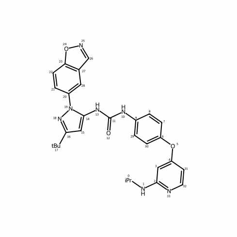 CC(C)Nc1cc(Oc2ccc(NC(=O)Nc3cc(C(C)(C)C)nn3-c3ccc4oncc4c3)cc2)ccn1